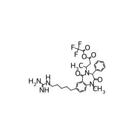 CC(CC(=O)OC(=O)C(F)(F)F)N1C(=O)c2cc(CCCCCNC(=N)N)ccc2N(C)C(=O)C1c1ccccc1